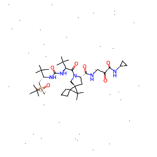 CC(C)(C)[C@H](NC(=O)N[C@H](C[SH](C)(=O)C(C)(C)C)C(C)(C)C)C(=O)N1C[C@@]2(C[C@H]1C(=O)NCC(=O)C(=O)NC1CC1)C(C)(C)C21CCC1